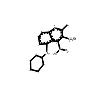 CCOC(=O)c1c(C)nc2cccc(OC3CCCCC3)c2c1N(C(C)=O)C(C)=O